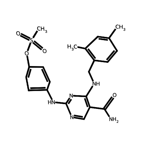 Cc1ccc(CNc2nc(Nc3ccc(OS(C)(=O)=O)cc3)ncc2C(N)=O)c(C)c1